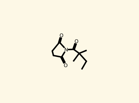 CCC(C)(C)C(=O)N1C(=O)CCC1=O